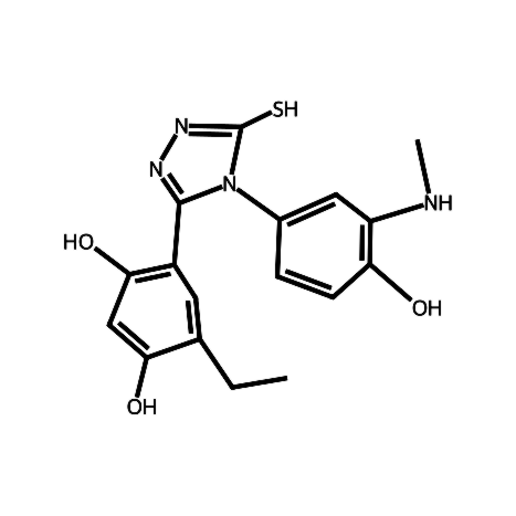 CCc1cc(-c2nnc(S)n2-c2ccc(O)c(NC)c2)c(O)cc1O